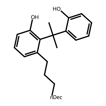 CCCCCCCCCCCCCc1cccc(O)c1C(C)(C)c1ccccc1O